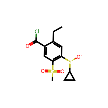 CCc1cc([S+]([O-])C2CC2)c(S(C)(=O)=O)cc1C(=O)Cl